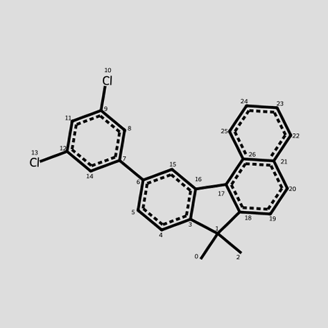 CC1(C)c2ccc(-c3cc(Cl)cc(Cl)c3)cc2-c2c1ccc1ccccc21